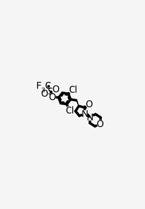 O=C1[C@H](Cc2c(Cl)cc(OS(=O)(=O)C(F)(F)F)cc2Cl)CCN1N1CCOCC1